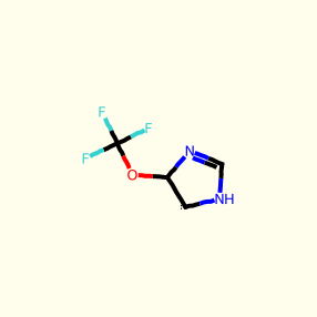 FC(F)(F)OC1[C]NC=N1